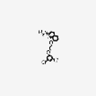 Nc1ccc2cccc(OCCCOc3cc(Cl)cc(Cl)c3)c2n1